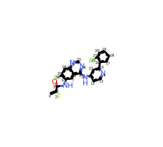 C=C(F)C(=O)Nc1cc2c(Nc3ccnc(-c4ccccc4F)c3)ncnc2cc1F